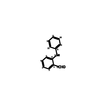 O=Cc1ccccc1[Se]c1ccccc1